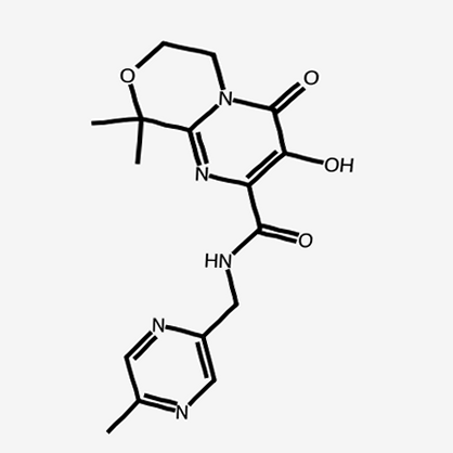 Cc1cnc(CNC(=O)c2nc3n(c(=O)c2O)CCOC3(C)C)cn1